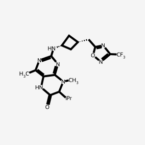 Cc1nc(N[C@H]2C[C@@H](Cc3nc(C(F)(F)F)no3)C2)nc2c1NC(=O)C(C(C)C)N2C